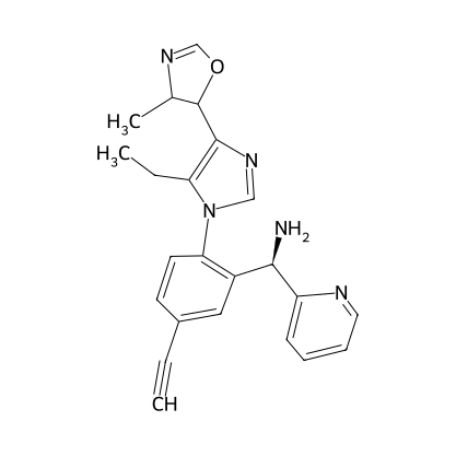 C#Cc1ccc(-n2cnc(C3OC=NC3C)c2CC)c([C@@H](N)c2ccccn2)c1